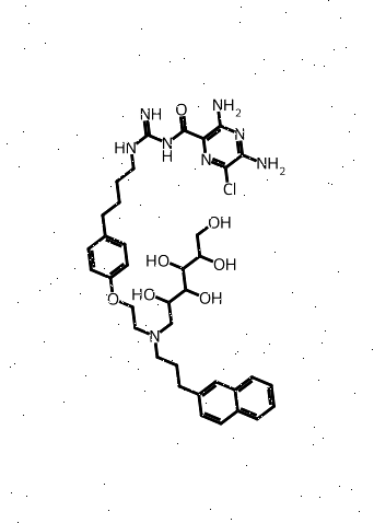 N=C(NCCCCc1ccc(OCCN(CCCc2ccc3ccccc3c2)CC(O)C(O)C(O)C(O)CO)cc1)NC(=O)c1nc(Cl)c(N)nc1N